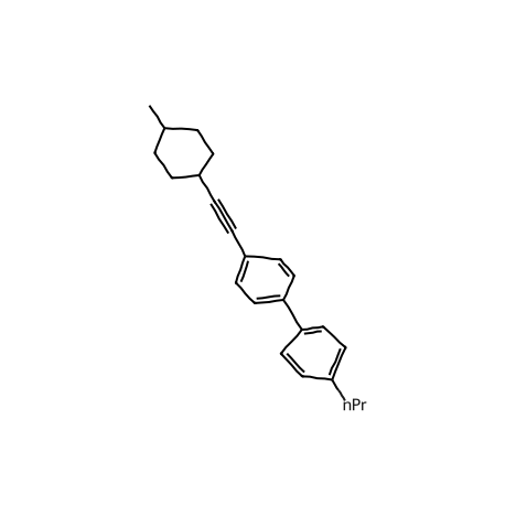 CCCc1ccc(-c2ccc(C#CC3CCC(C)CC3)cc2)cc1